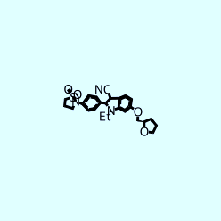 CCN1c2cc(OC[C@H]3CCCO3)ccc2C(C#N)C1c1ccc(N2CCCS2(=O)=O)cc1